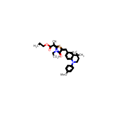 C=CCOC(=O)/C(C#N)=c1/s/c(=C/c2ccc3c(c2)C(C)(C)CCN3c2ccc(OC)cc2)c(=O)n1CC(=O)O